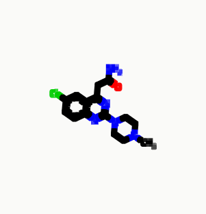 CN1CCN(c2nc(CC(N)=O)c3cc(Cl)ccc3n2)CC1